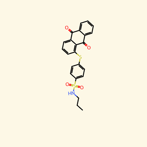 CCCNS(=O)(=O)c1ccc(Sc2cccc3c2C(=O)c2ccccc2C3=O)cc1